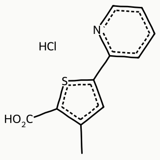 Cc1cc(-c2ccccn2)sc1C(=O)O.Cl